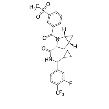 CS(=O)(=O)c1cccc(C(=O)N2[C@@H](C(=O)NC(c3ccc(C(F)(F)F)c(F)c3)C3CC3)C[C@H]3C[C@H]32)c1